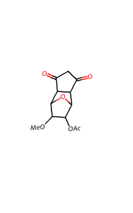 COC1C(OC(C)=O)C2OC1C1C(=O)CC(=O)C21